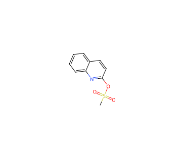 CS(=O)(=O)Oc1ccc2ccccc2n1